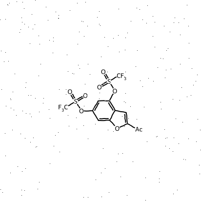 CC(=O)c1cc2c(OS(=O)(=O)C(F)(F)F)cc(OS(=O)(=O)C(F)(F)F)cc2o1